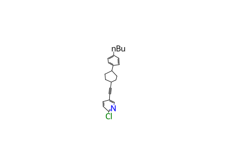 CCCCc1ccc(C2CCC(C#Cc3ccc(Cl)nc3)CC2)cc1